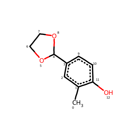 Cc1cc(C2OCCO2)ccc1O